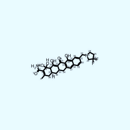 CC1=C(C(N)=O)C(O)(O)C2C(O)=C3C(=O)c4c(cc5ccc(CN6CCC(F)(F)C6)cc5c4O)CC3C[C@H]2C1